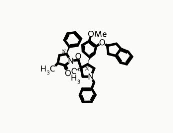 COc1ccc([C@@H]2CN(Cc3ccccc3)C[C@@]2(C)C(=O)N2C(=O)C(C)C[C@H]2c2ccccc2)cc1OC1Cc2ccccc2C1